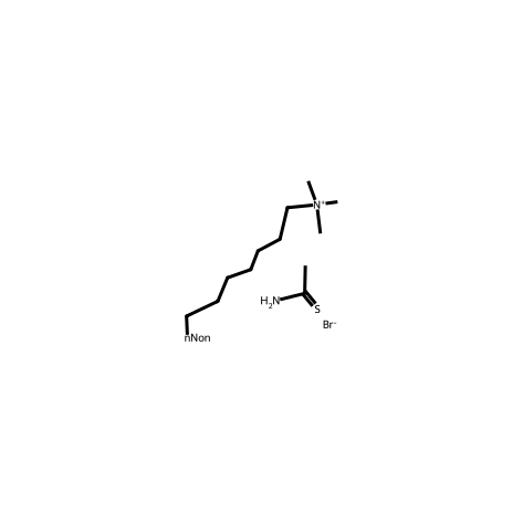 CC(N)=S.CCCCCCCCCCCCCCCC[N+](C)(C)C.[Br-]